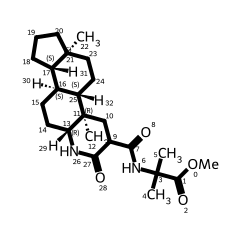 COC(=O)C(C)(C)NC(=O)C1C[C@@]2(C)[C@@H](CC[C@H]3[C@@H]4CCC[C@@]4(C)CC[C@@H]32)NC1=O